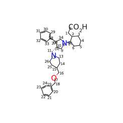 O=C(O)CC1CCCC[C@H]1N1C[C@H](CN2CCC(COCc3ccccc3)CC2)[C@@H](c2ccccc2)C1